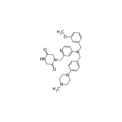 COc1cccc(CN(Cc2ccc(N3CCN(C)CC3)cc2)c2ccnc(CN3CC(=O)NCC3=O)c2)c1